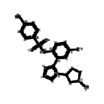 CC(C)N1CCC(n2cnnc2-c2cc(Cl)ccc2NS(=O)(=O)c2ccc(C(C)(C)C)cc2)C1